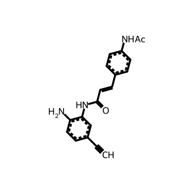 C#Cc1ccc(N)c(NC(=O)C=Cc2ccc(NC(C)=O)cc2)c1